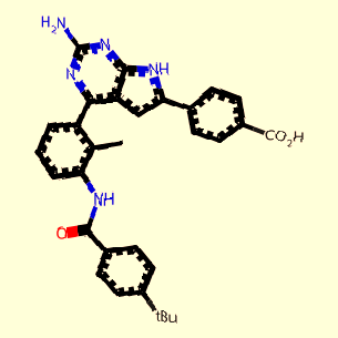 Cc1c(NC(=O)c2ccc(C(C)(C)C)cc2)cccc1-c1nc(N)nc2[nH]c(-c3ccc(C(=O)O)cc3)cc12